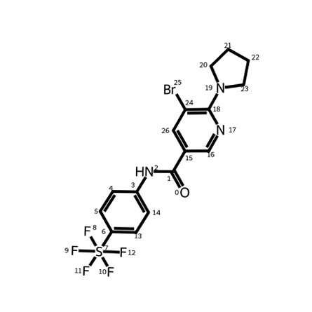 O=C(Nc1ccc(S(F)(F)(F)(F)F)cc1)c1cnc(N2CCCC2)c(Br)c1